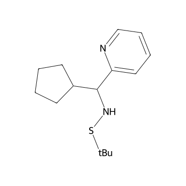 CC(C)(C)SNC(c1ccccn1)C1CCCC1